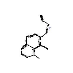 C=C/C=C\c1ccc2cccc(C)c2c1C